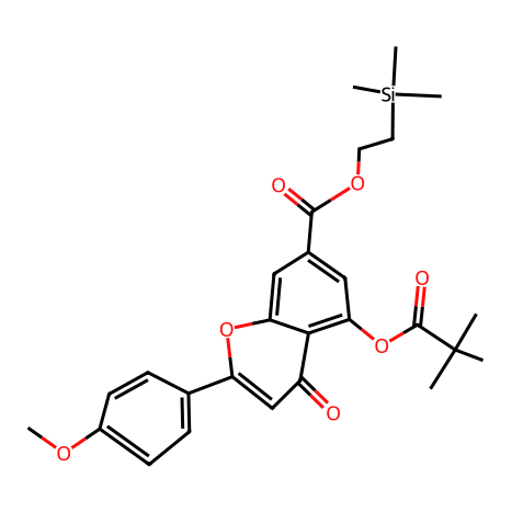 COc1ccc(-c2cc(=O)c3c(OC(=O)C(C)(C)C)cc(C(=O)OCC[Si](C)(C)C)cc3o2)cc1